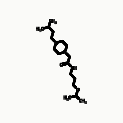 CC(C)CCN1CCN(CC(=O)NCCCOC(C)C)CC1